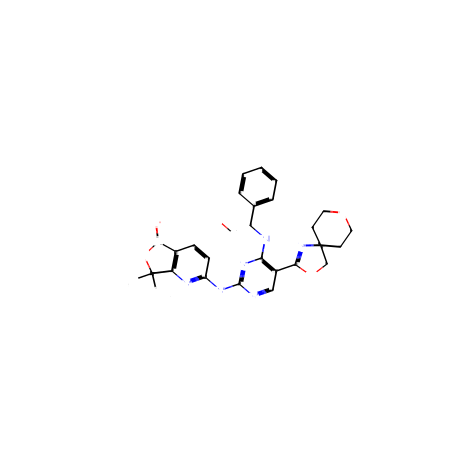 CC1(C)OB(O)c2ccc(Nc3ncc(C4=NC5(CCOCC5)CO4)c(N[C@H](CO)c4ccccc4)n3)nc21